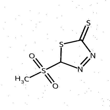 CS(=O)(=O)C1N=NC(=S)S1